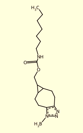 Bn1nnc2c1CCC1C(CC2)C1COC(=O)NCCCCCCC